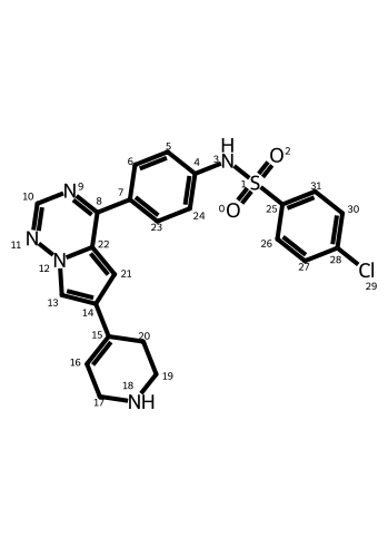 O=S(=O)(Nc1ccc(-c2ncnn3cc(C4=CCNCC4)cc23)cc1)c1ccc(Cl)cc1